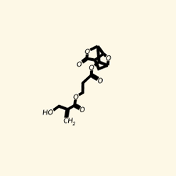 C=C(CO)C(=O)OCCC(=O)OC1C2CC3C(=O)OC1C3O2